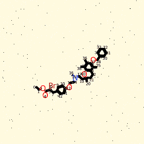 CCOC(=O)C(Br)Cc1ccc(OCCN(C)CCC2(C)CCc3c(C)c(OCc4ccccc4)c(C)c(C)c3O2)cc1